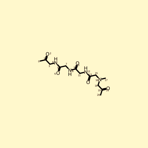 CC(=O)CNC(=O)CNC(=O)CNC(=O)CN(C)CC(C)=O